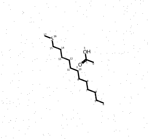 CC(=O)O.CCCCCCCCCCCCSC